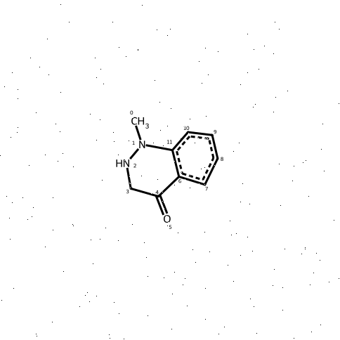 CN1NCC(=O)c2ccccc21